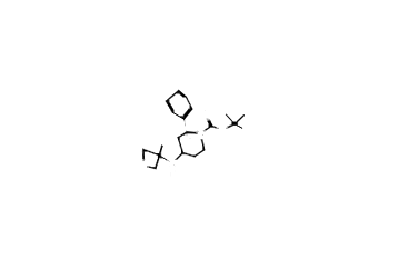 CC1(NC2CCN(C(=O)OC(C)(C)C)[C@H](c3ccccc3)C2)COC1